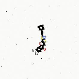 CCc1cc2c(cc1CC)C(=O)C(=Cc1cc3sc(C#Cc4ccccc4)nc3s1)C2=O